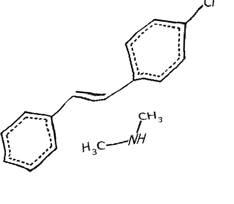 CNC.Clc1ccc(C=Cc2ccccc2)cc1